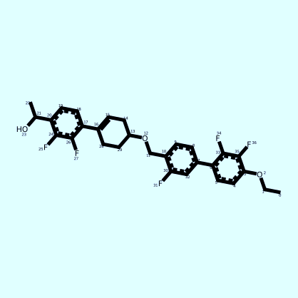 CCOc1ccc(-c2ccc(COC3CC=C(c4ccc(C(C)O)c(F)c4F)CC3)c(F)c2)c(F)c1F